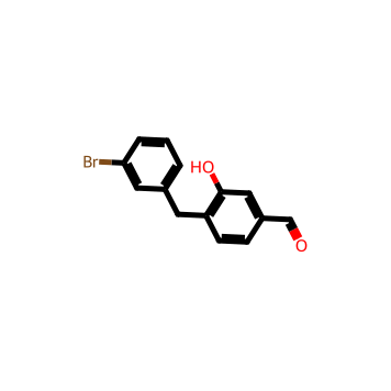 O=Cc1ccc(Cc2cccc(Br)c2)c(O)c1